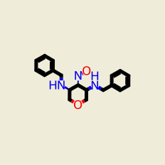 O=N[C@@H]1C(NCc2ccccc2)COC[C@H]1NCc1ccccc1